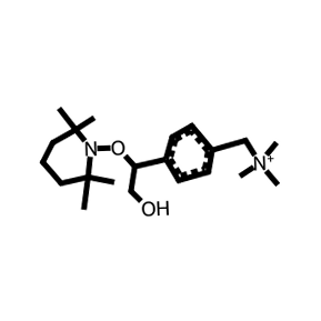 CC1(C)CCCC(C)(C)N1OC(CO)c1ccc(C[N+](C)(C)C)cc1